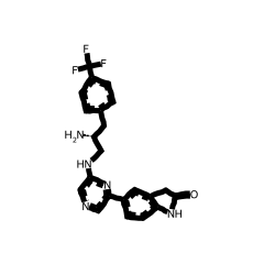 N[C@@H](CNc1cncc(-c2ccc3c(c2)CC(=O)N3)n1)Cc1ccc(C(F)(F)F)cc1